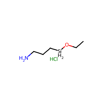 CCO[SiH2]CCCN.Cl